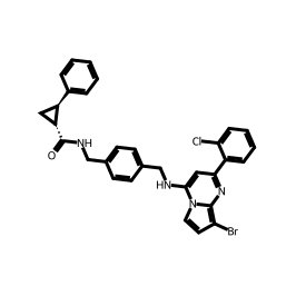 O=C(NCc1ccc(CNc2cc(-c3ccccc3Cl)nc3c(Br)ccn23)cc1)[C@@H]1C[C@H]1c1ccccc1